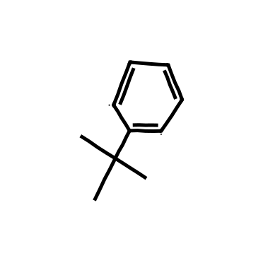 CC(C)(C)c1[c]ccc[c]1